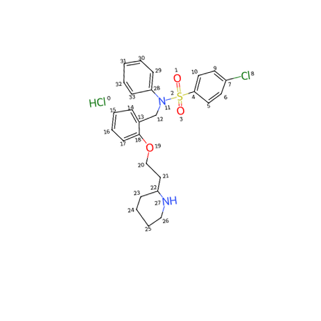 Cl.O=S(=O)(c1ccc(Cl)cc1)N(Cc1ccccc1OCCC1CCCCN1)c1ccccc1